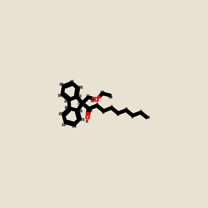 CCCCCCCCC(=O)C1(COCC)c2ccccc2-c2ccccc21